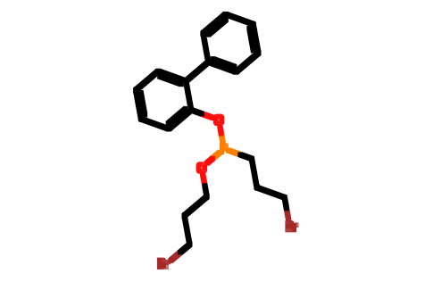 BrCCCOP(CCCBr)Oc1ccccc1-c1ccccc1